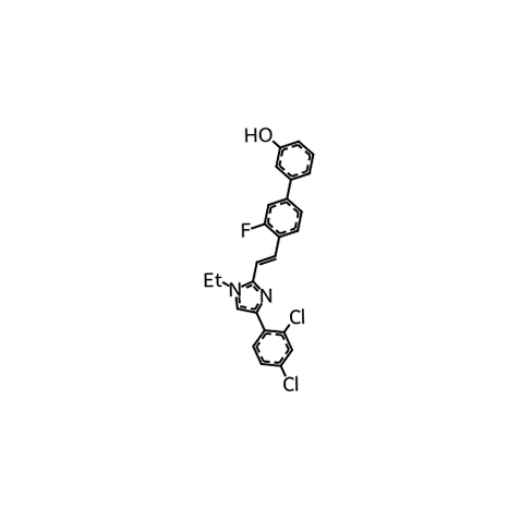 CCn1cc(-c2ccc(Cl)cc2Cl)nc1C=Cc1ccc(-c2cccc(O)c2)cc1F